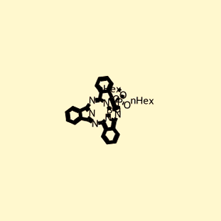 CCCCCCOP(=O)(OCCCCCC)OB1n2c3c4ccccc4c2/N=C2N=C(/N=c4/c5ccccc5c(n41)=N3)c1ccccc1\2